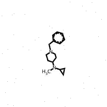 CN(C1CC1)C1CCN(Cc2ccccc2)CC1